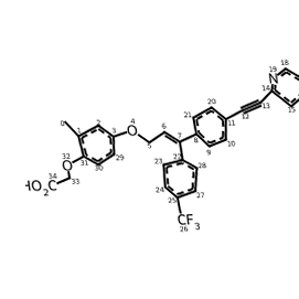 Cc1cc(OCC=C(c2ccc(C#Cc3ccccn3)cc2)c2ccc(C(F)(F)F)cc2)ccc1OCC(=O)O